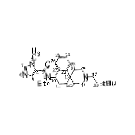 CCN(C(=O)c1cncn1C)[C@@H]1CCC2(CCN(CCC(C)(C)C)CC2)c2ccccc21